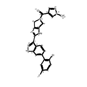 CCc1ccc(F)cc1-c1ccc2c(-c3nc4c([nH]3)CN(C(=O)c3cnn(C)c3)C4)n[nH]c2c1